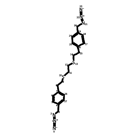 [N-]=[N+]=NCc1ccc(CCSCCSCCc2ccc(CN=[N+]=[N-])cc2)cc1